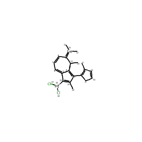 CC1=C(C2=C3C(=CC=C[C](=[Ge]([CH3])[CH3])C3C)[C]([Hf]([Cl])[Cl])=C2C)CC=C1